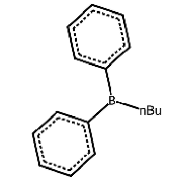 CCCCB(c1ccccc1)c1ccccc1